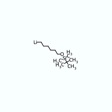 [Li][CH2]CCCCCO[Si](C)(C)C(C)(C)C